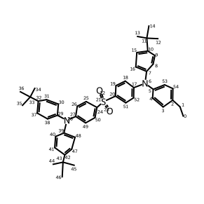 CCc1ccc(N(c2ccc(C(C)(C)C)cc2)c2ccc(S(=O)(=O)c3ccc(N(c4ccc(C(C)(C)C)cc4)c4ccc(C(C)(C)C)cc4)cc3)cc2)cc1